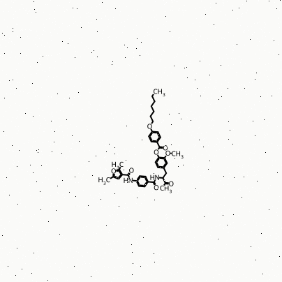 CCCCCCCOc1ccc(C(=O)Oc2ccc(CC(NC(=O)c3ccc(NC(=O)c4cc(C)oc4C)cc3)C(C)=O)cc2OC)cc1